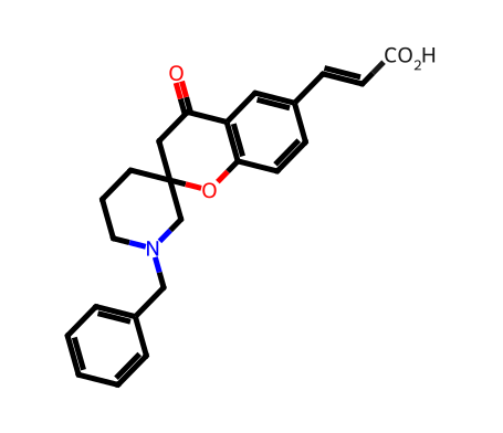 O=C(O)/C=C/c1ccc2c(c1)C(=O)CC1(CCCN(Cc3ccccc3)C1)O2